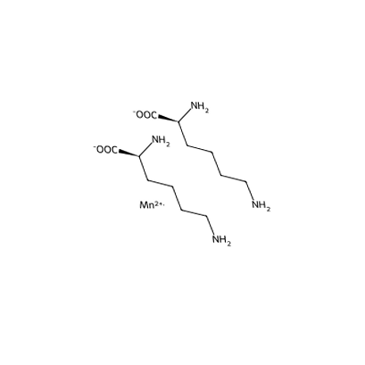 NCCCC[C@H](N)C(=O)[O-].NCCCC[C@H](N)C(=O)[O-].[Mn+2]